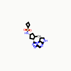 CC1C[C@@H](NS(=O)(=O)C2CCC2)C[C@H]1c1nnc2cnc3c(n12)CCN3